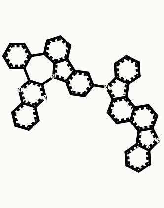 c1ccc2c(c1)-c1nc3ccccc3nc1-n1c3ccc(-n4c5ccccc5c5c6ccc7sc8ccccc8c7c6ccc54)cc3c3cccc-2c31